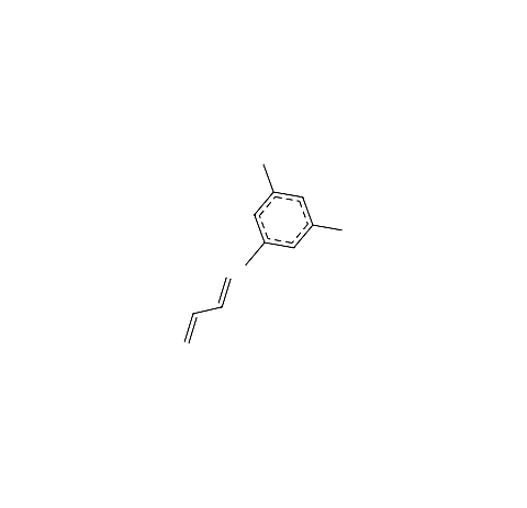 C=CC=C.Cc1cc(C)cc(C)c1